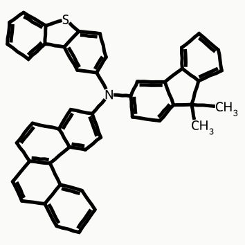 CC1(C)c2ccccc2-c2cc(N(c3ccc4c(ccc5ccc6ccccc6c54)c3)c3ccc4sc5ccccc5c4c3)ccc21